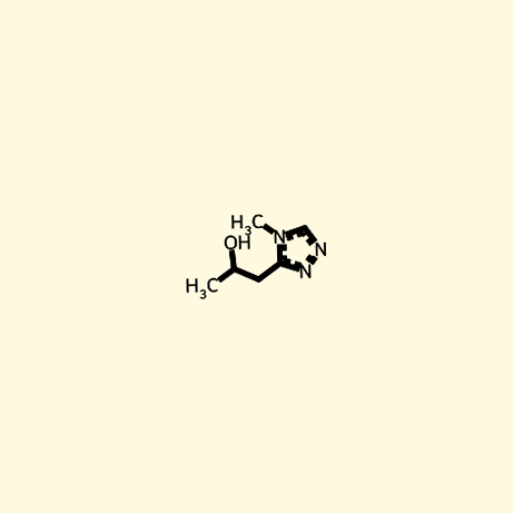 CC(O)Cc1nncn1C